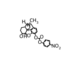 CN1CC[C@@]23c4c5ccc(OC(=O)Oc6ccc([N+](=O)[O-])cc6)c4O[C@@H]2C(=O)CCC3[C@@H]1C5